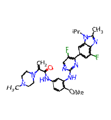 C=C(C(=O)Nc1ccc(OC)c(Nc2ncc(F)c(-c3cc(F)c4nc(C)n(C(C)C)c4c3)n2)c1)N1CCN(C)CC1